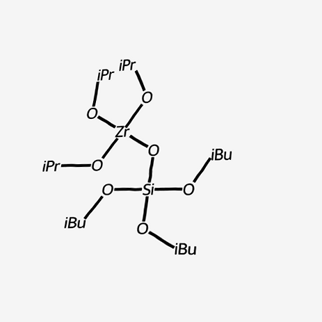 CCC(C)O[Si](OC(C)CC)(OC(C)CC)[O][Zr]([O]C(C)C)([O]C(C)C)[O]C(C)C